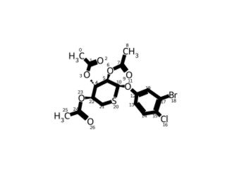 CC(=O)O[C@@H]1[C@@H](OC(C)=O)[C@@H](Oc2ccc(Cl)c(Br)c2)SC[C@H]1OC(C)=O